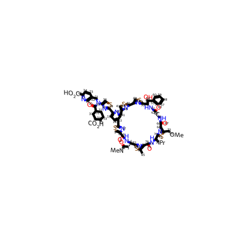 CNC(=O)C[C@@H]1NC(=O)c2csc(n2)-c2ccc(-c3nc(N(Cc4ccc(C(=O)O)nc4)C(=O)C4CCC(C(=O)O)CC4)cs3)nc2-c2csc(n2)-c2csc(n2)[C@H]([C@@H](O)c2ccccc2)NC(=O)CNC(=O)c2nc(sc2COC)C(C(C)C)NC(=O)c2nc1sc2C